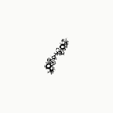 O=S(=O)(NCC1CC(S(=O)(=O)c2cccc(C(F)(F)F)c2)C1)c1ccc(C(F)(F)F)cc1